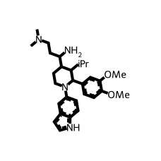 COc1ccc(C2C(C(C)C)C(C(N)CCN(C)C)CCN2c2ccc3[nH]ccc3c2)cc1OC